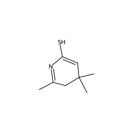 CC1=NC(S)=CC(C)(C)C1